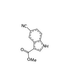 COC(=O)c1c[nH]c2ccc(C#N)cc12